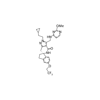 COc1nccc(NCc2c3c(nn2CCC2CC2)C[C@]2(CCc4cc(OCC(F)(F)F)ccc42)NC3=O)n1